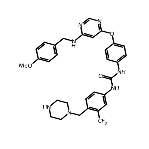 COc1ccc(CNc2cc(Oc3ccc(NC(=O)Nc4ccc(CN5CCNCC5)c(C(F)(F)F)c4)cc3)ncn2)cc1